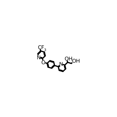 OCC(O)c1cccc(-c2ccc(Oc3ccc(C(F)(F)F)cn3)cc2)n1